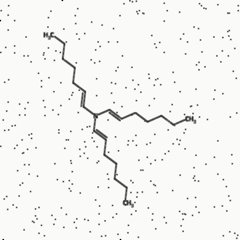 CCCCCC=CN(C=CCCCCC)C=CCCCCC